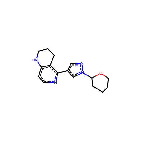 c1cc2c(c(-c3cnn(C4CCCCO4)c3)n1)CCCN2